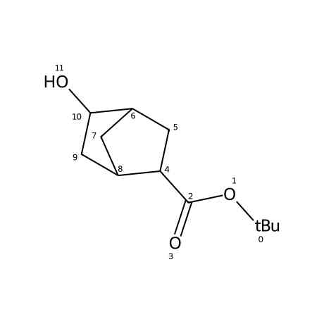 CC(C)(C)OC(=O)C1CC2CC1CC2O